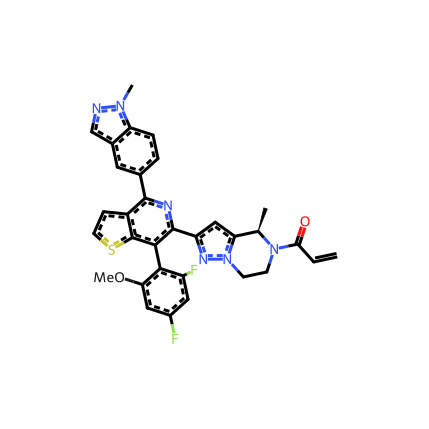 C=CC(=O)N1CCn2nc(-c3nc(-c4ccc5c(cnn5C)c4)c4ccsc4c3-c3c(F)cc(F)cc3OC)cc2[C@H]1C